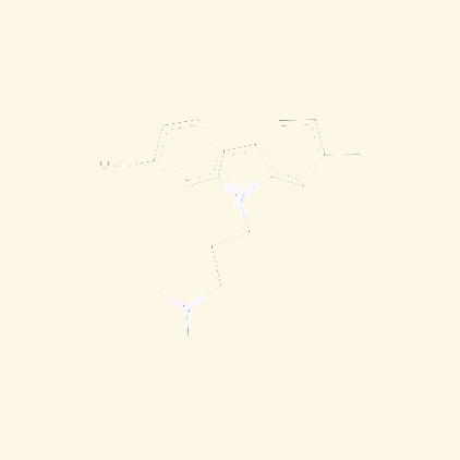 COc1ccc2c3ccc(C)cc3n(CCCN(C)C)c2c1